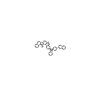 c1ccc(N(c2ccc(-c3ccc4ccccc4c3)cc2)c2ccc3c(c2)sc2ccc4c5ccc6ccccc6c5sc4c23)cc1